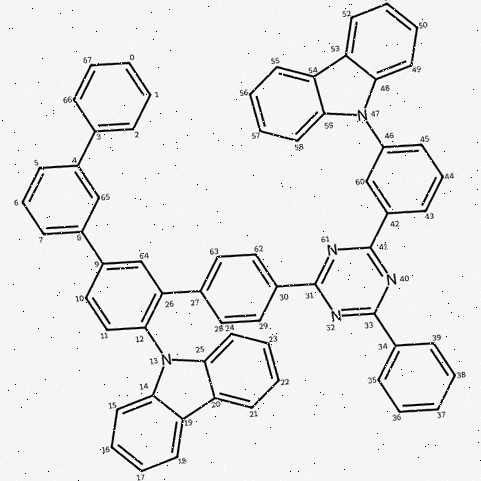 c1ccc(-c2cccc(-c3ccc(-n4c5ccccc5c5ccccc54)c(-c4ccc(-c5nc(-c6ccccc6)nc(-c6cccc(-n7c8ccccc8c8ccccc87)c6)n5)cc4)c3)c2)cc1